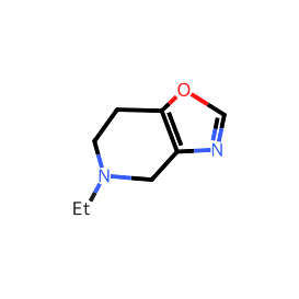 CCN1CCc2ocnc2C1